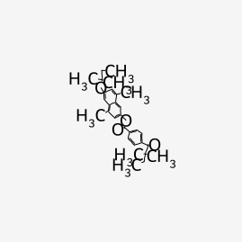 CCC(C)(C)Oc1cc(C)c2cc(OC(=O)c3ccc(C(=O)C(C)(C)CC)cc3)cc(C)c2c1